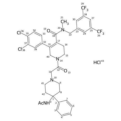 CC(=O)NC1(c2ccccc2)CCN(CC(=O)N2CCC(C(=O)N(C)Cc3cc(C(F)(F)F)cc(C(F)(F)F)c3)=C(c3ccc(Cl)c(Cl)c3)C2)CC1.Cl